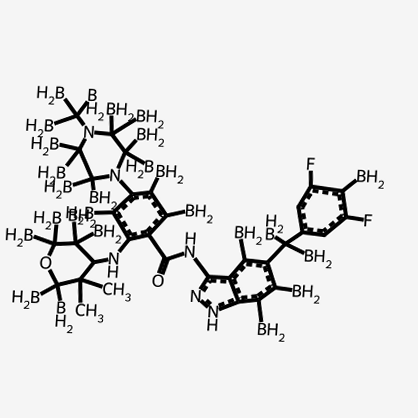 Bc1c(F)cc(C(B)(B)c2c(B)c(B)c3[nH]nc(NC(=O)c4c(B)c(B)c(N5C(B)(B)C(B)(B)N(C(B)(B)B)C(B)(B)C5(B)B)c(B)c4NC4C(B)(B)C(B)(B)OC(B)(B)C4(C)C)c3c2B)cc1F